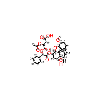 COc1ccc2c3c1O[C@@H]1C(OC(=O)[C@@H](OC(=O)[C@H](CC(=O)O)OC(C)=O)c4ccccc4)=CC[C@]4(O)[C@@H](CCC[C@@]314)C2